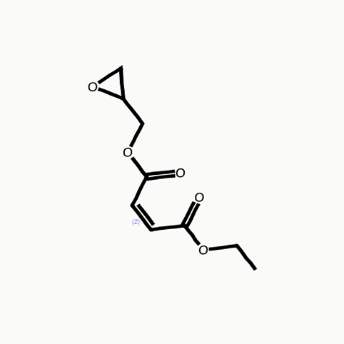 CCOC(=O)/C=C\C(=O)OCC1CO1